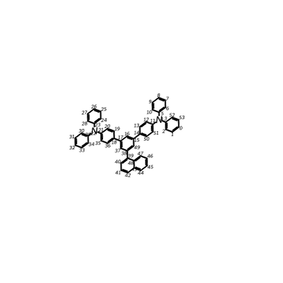 c1ccc(N(c2ccccc2)c2ccc(-c3cc(-c4ccc(N(c5ccccc5)c5ccccc5)cc4)cc(-c4cccc5ccccc45)c3)cc2)cc1